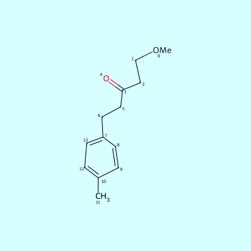 COCCC(=O)CCc1ccc(C)cc1